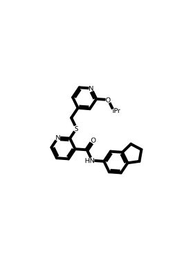 CC(C)Oc1cc(CSc2ncccc2C(=O)Nc2ccc3c(c2)CCC3)ccn1